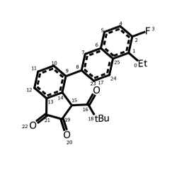 CCc1c(F)ccc2cc(-c3cccc4c3C(C(=O)C(C)(C)C)C(=O)C4=O)ccc12